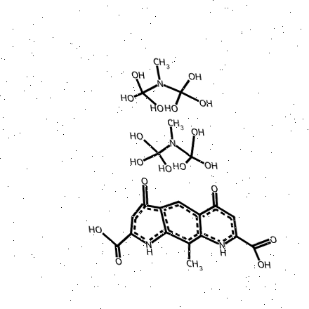 CN(C(O)(O)O)C(O)(O)O.CN(C(O)(O)O)C(O)(O)O.Cc1c2[nH]c(C(=O)O)cc(=O)c2cc2c(=O)cc(C(=O)O)[nH]c12